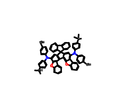 C[SiH](C)c1ccc(N(c2ccc(C(C)(C)C)cc2)c2cc3c(c4c2oc2ccccc24)-c2c(cc(N(c4ccc(C(C)(C)C)cc4)c4ccc([Si](C)(C)C)cc4)c4c2oc2ccccc24)C32c3ccccc3-c3ccccc32)cc1